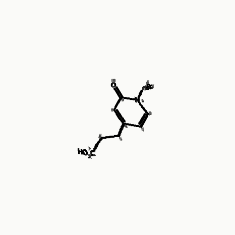 CCCCn1ccc(CCC(=O)O)cc1=O